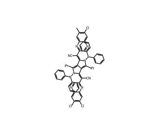 Cc1cc2nc(/C(C#N)=c3/c4c(C(C)C)n(B(c5ccccc5)c5ccccc5)/c(=C(/C#N)c5cnc6cc(Cl)c(Cl)cc6n5)c4c(C(C)C)n3B(c3ccccc3)c3ccccc3)cnc2cc1Cl